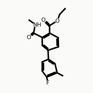 CCOC(=O)c1ccc(-c2ccc(F)c(C)c2)cc1C(=O)NC